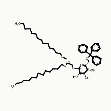 CCCCCCCCCCCCCCOC[C@H](CO[C@H]1O[C@H](COC(c2ccccc2)(c2ccccc2)c2ccccc2)[C@H](O)[C@H](O)[C@H]1O)OCCCCCCCCCCCCCC